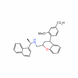 COc1cc(C(=O)O)ccc1C1CC(CN[C@H](C)c2cccc3ccccc23)Oc2ccccc21